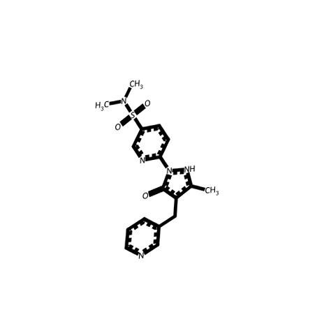 Cc1[nH]n(-c2ccc(S(=O)(=O)N(C)C)cn2)c(=O)c1Cc1cccnc1